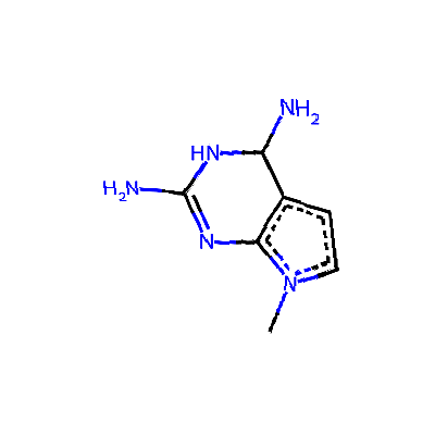 Cn1ccc2c1N=C(N)NC2N